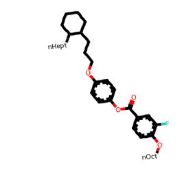 CCCCCCCCOc1ccc(C(=O)Oc2ccc(OCCCC3CCCCC3CCCCCCC)cc2)cc1F